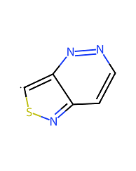 [c]1snc2ccnnc12